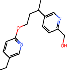 CCc1ccc(OCCC(C)c2ccc(CO)nc2)nc1